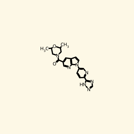 CC1CN(C(=O)c2cnc3c(ccn3-c3ccc(-c4ncn[nH]4)nc3)c2)CC(C)O1